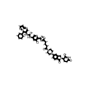 O=C1CCC(N2Cc3cc(N4CCN(C(=O)CCCc5nc(-c6ncc(NC(=O)Nc7cnc8ccnn8c7C7CCCCC7)cc6Cl)no5)CC4)ccc3C2=O)C(=O)N1